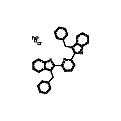 [Cl-].[Cl-].[Fe+2].c1ccc(Cn2c(-c3cccc(-c4nc5ccccc5n4Cc4ccccc4)n3)nc3ccccc32)cc1